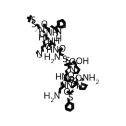 C[C@H](CSSC(C)(C)C)NC(=O)[C@H](Cc1c[nH]c2ccccc12)NC(=O)[C@H](CCCCN(C)C)NC(=O)CNC(=O)[C@@H](N)CSSC(C)(C)[C@H](CC(=O)N[C@@H](CCCCN)C(=O)N[C@@H](CC(=O)SCc1ccccc1)C(=O)N1CCC[C@H]1C(N)=O)N1CCCC1C(=O)O